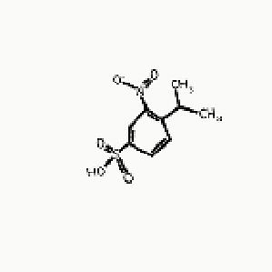 CC(C)c1ccc(S(=O)(=O)O)cc1[N+](=O)[O-]